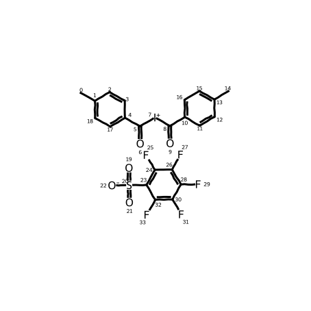 Cc1ccc(C(=O)[I+]C(=O)c2ccc(C)cc2)cc1.O=S(=O)([O-])c1c(F)c(F)c(F)c(F)c1F